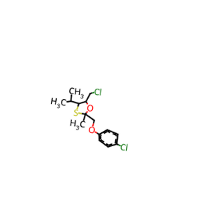 CC(C)C1SC(C)(COc2ccc(Cl)cc2)OC1CCl